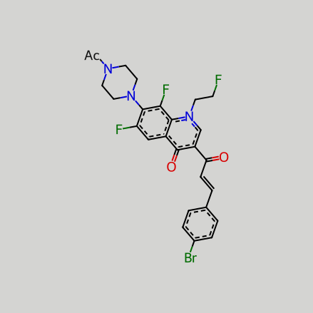 CC(=O)N1CCN(c2c(F)cc3c(=O)c(C(=O)/C=C/c4ccc(Br)cc4)cn(CCF)c3c2F)CC1